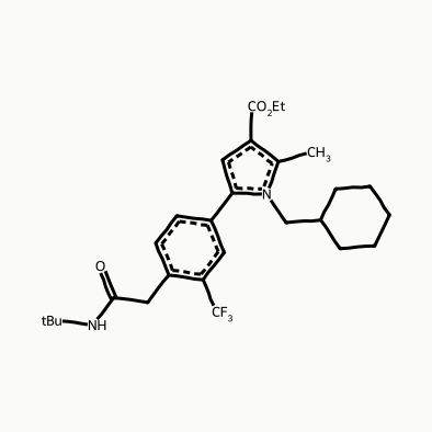 CCOC(=O)c1cc(-c2ccc(CC(=O)NC(C)(C)C)c(C(F)(F)F)c2)n(CC2CCCCC2)c1C